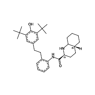 CC(C)(C)c1cc(CCc2ccccc2NC(=O)[C@@H]2CC[C@H]3CCCCC3N2)cc(C(C)(C)C)c1O